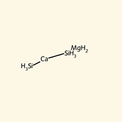 [MgH2].[SiH3][Ca][SiH3]